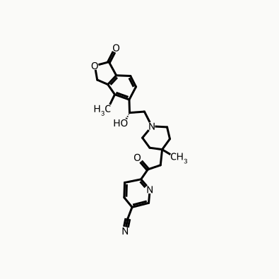 Cc1c([C@@H](O)CN2CCC(C)(CC(=O)c3ccc(C#N)cn3)CC2)ccc2c1COC2=O